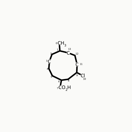 CC1CCCCC(C(=O)O)CC(Cl)CCC1